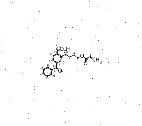 C=CC(=O)OCCCCc1cc(C(=O)c2ccccc2)ccc1C(=O)O